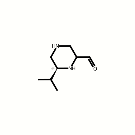 CC(C)[C@H]1CNCC(C=O)N1